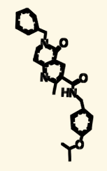 Cc1nc2ccn(Cc3ccccc3)c(=O)c2cc1C(=O)NCc1ccc(OC(C)C)cc1